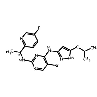 CC(C)Oc1cc(Nc2nc(N[C@@H](C)c3ccc(F)cn3)ncc2Br)n[nH]1